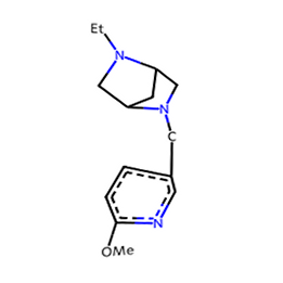 CCN1CC2CC1CN2Cc1ccc(OC)nc1